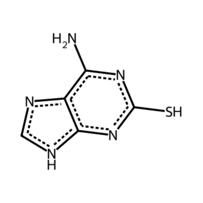 Nc1nc(S)nc2[nH]cnc12